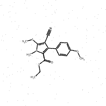 CCOC(=O)c1c(-c2ccc(OC)cc2)c(C#N)c(SC)n1C